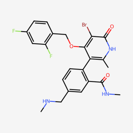 CNCc1ccc(-c2c(C)[nH]c(=O)c(Br)c2OCc2ccc(F)cc2F)c(C(=O)NC)c1